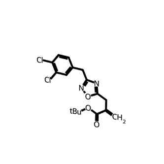 C=C(Cc1nc(Cc2ccc(Cl)c(Cl)c2)no1)C(=O)OC(C)(C)C